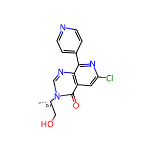 C[C@@H](CO)n1cnc2c(-c3ccncc3)nc(Cl)cc2c1=O